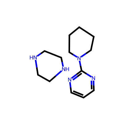 C1CNCCN1.c1cnc(N2CCCCC2)nc1